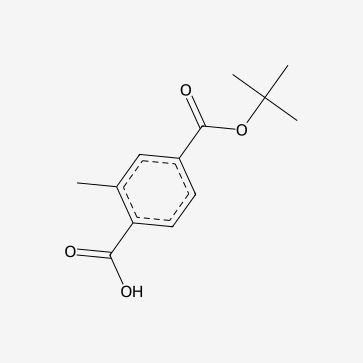 Cc1cc(C(=O)OC(C)(C)C)ccc1C(=O)O